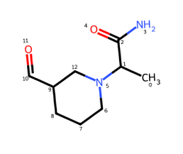 CC(C(N)=O)N1CCCC(C=O)C1